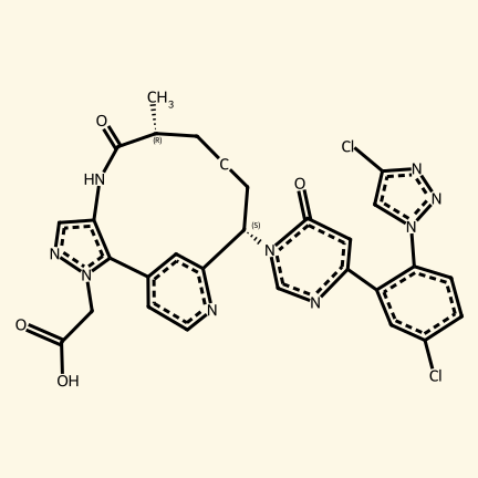 C[C@@H]1CCC[C@H](n2cnc(-c3cc(Cl)ccc3-n3cc(Cl)nn3)cc2=O)c2cc(ccn2)-c2c(cnn2CC(=O)O)NC1=O